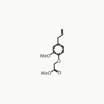 C=CCc1ccc(OCC(=O)OC)c(OC)c1